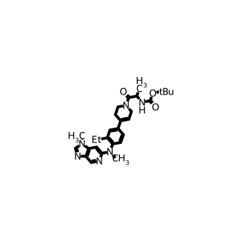 CCc1cc(C2=CCN(C(=O)C(C)NC(=O)OC(C)(C)C)CC2)ccc1N(C)c1cc2c(cn1)ncn2C